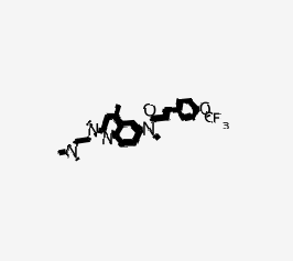 Cc1cc(N(C)CCN(C)C)nc2ccc(N(C)C(=O)C=Cc3ccc(OC(F)(F)F)cc3)cc12